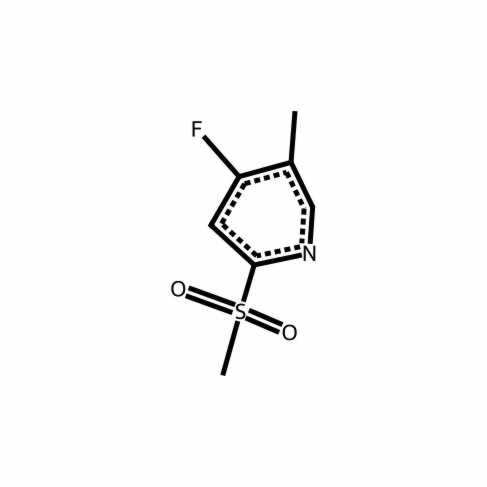 Cc1cnc(S(C)(=O)=O)cc1F